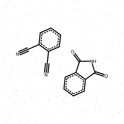 N#Cc1ccccc1C#N.O=C1NC(=O)c2ccccc21